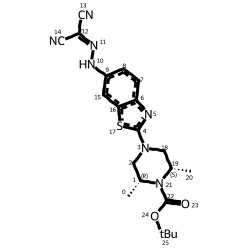 C[C@@H]1CN(c2nc3ccc(NN=C(C#N)C#N)cc3s2)C[C@H](C)N1C(=O)OC(C)(C)C